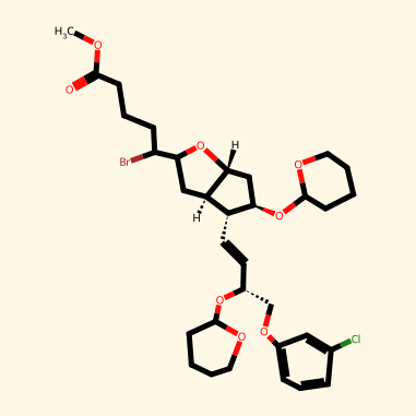 COC(=O)CCCC(Br)C1C[C@@H]2[C@@H](/C=C/[C@H](COc3cccc(Cl)c3)OC3CCCCO3)[C@H](OC3CCCCO3)C[C@H]2O1